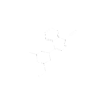 CC1CN(c2ccc(C#N)c3ncccc23)CC(CN)O1